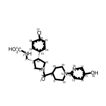 O=C(O)NC[C@H]1CN(C(=O)C2CCN(c3ccc(O)cn3)CC2)C[C@H]1c1ccc(Cl)cc1